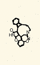 O=C1NC(=O)C2=C1C1=C3C=CC=CC3ON=C(C1)/N=C/C=C\C1=c3ccccc3=C2C1